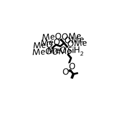 C=C(C)C(=O)OCCC[SiH2]C(OC)(OC)C(CCC(OC)(OC)OC)(OC)C(OC)(OC)OC